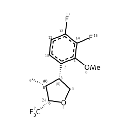 COc1c([C@@H]2CO[C@H](C(F)(F)F)[C@@H]2C)ccc(F)c1F